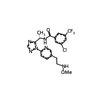 CONCCc1ccc(-n2ncnc2[C@H](C)NC(=O)c2cc(Cl)cc(C(F)(F)F)c2)nc1